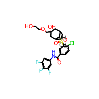 C[C@H]1CC2C[C@](O)(COCCO)CC1[C@@H]2S(=O)(=O)c1cc(C(=O)Nc2cc(F)c(F)c(F)c2)ccc1Cl